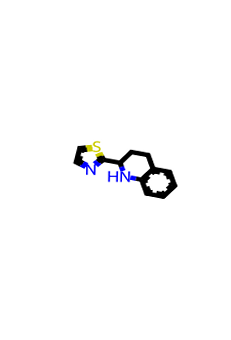 c1ccc2c(c1)CCC(c1nccs1)N2